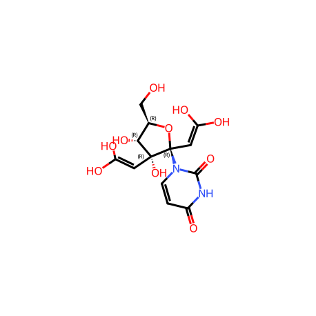 O=c1ccn([C@]2(C=C(O)O)O[C@H](CO)[C@@H](O)[C@]2(O)C=C(O)O)c(=O)[nH]1